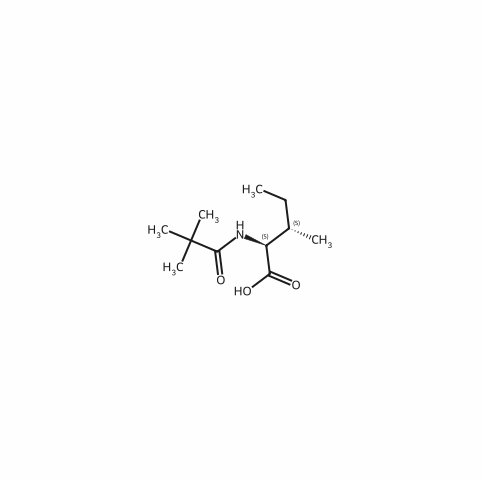 CC[C@H](C)[C@H](NC(=O)C(C)(C)C)C(=O)O